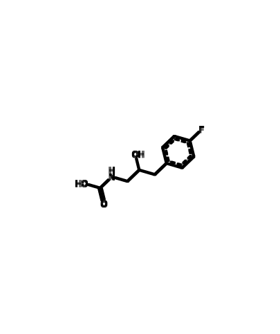 O=C(O)NCC(O)Cc1ccc(F)cc1